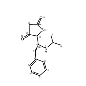 CC(C)N[C@@H](Cc1ccccc1)C1SC(=O)CC1=O